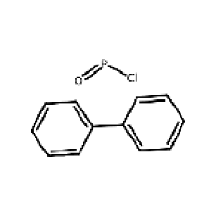 O=PCl.c1ccc(-c2ccccc2)cc1